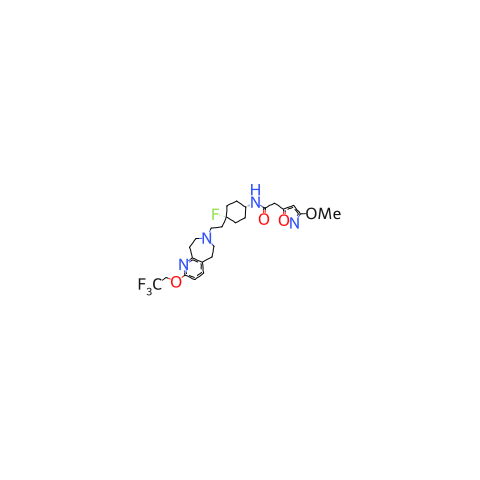 COc1cc(CC(=O)N[C@H]2CC[C@](F)(CCN3CCc4ccc(OCC(F)(F)F)nc4CC3)CC2)on1